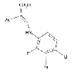 CCOC(=O)C(=CNc1ccc(Cl)c(Br)c1F)C(C)=O